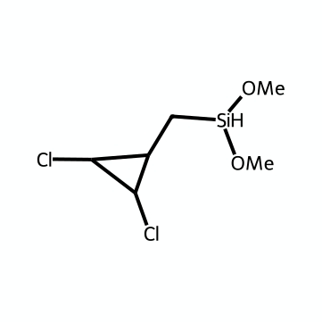 CO[SiH](CC1C(Cl)C1Cl)OC